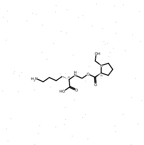 NCCCC[C@H](NCOC(=O)[C@@H]1CCCN1CO)C(=O)O